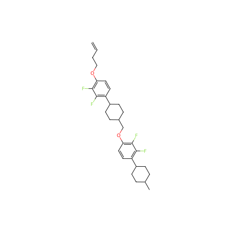 C=CCCOc1ccc(C2CCC(COc3ccc(C4CCC(C)CC4)c(F)c3F)CC2)c(F)c1F